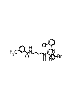 O=C(NCCCCNc1cc(-c2ccccc2Cl)nc2c(Br)cnn12)c1cccc(C(F)(F)F)c1